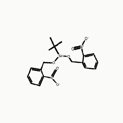 CC(C)(C)[SiH](OCc1ccccc1[N+](=O)[O-])OCc1ccccc1[N+](=O)[O-]